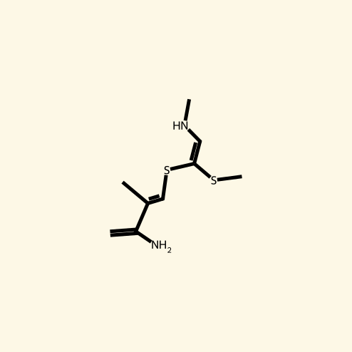 C=C(N)/C(C)=C/S/C(=C\NC)SC